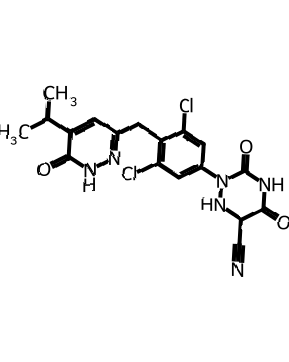 CC(C)c1cc(Cc2c(Cl)cc(N3NC(C#N)C(=O)NC3=O)cc2Cl)n[nH]c1=O